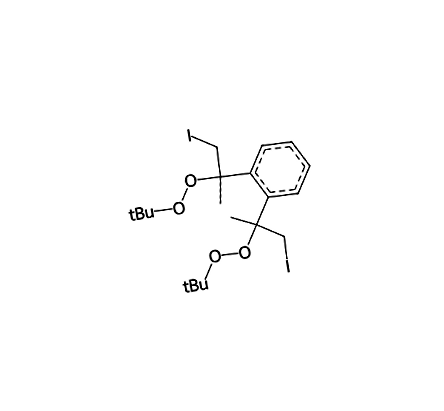 CC(C)(C)OOC(C)(CI)c1ccccc1C(C)(CI)OOC(C)(C)C